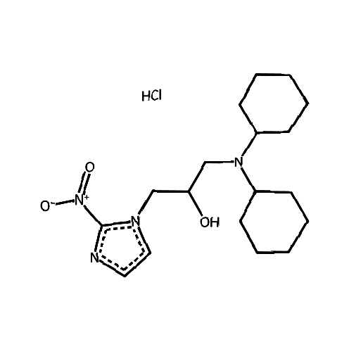 Cl.O=[N+]([O-])c1nccn1CC(O)CN(C1CCCCC1)C1CCCCC1